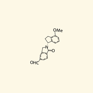 COc1cccc2c1CC[C@H]2N1Cc2cc(C=O)ccc2C1=O